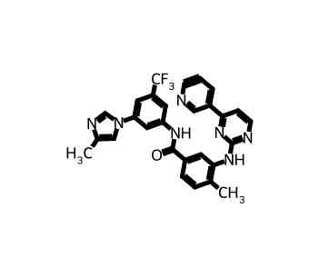 Cc1cn(-c2cc(NC(=O)c3ccc(C)c(Nc4nccc(-c5cc#cnc5)n4)c3)cc(C(F)(F)F)c2)cn1